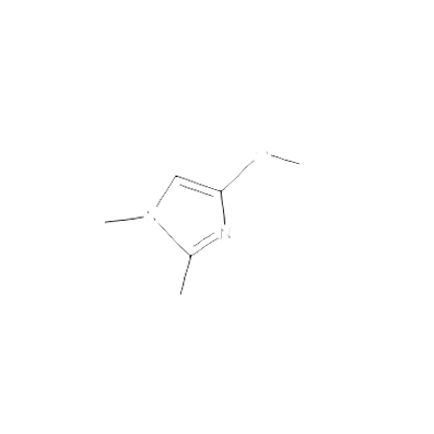 CCOc1cn(C)c(C)n1